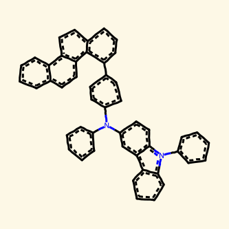 c1ccc(N(c2ccc(-c3cccc4ccc5c6ccccc6ccc5c34)cc2)c2ccc3c(c2)c2ccccc2n3-c2ccccc2)cc1